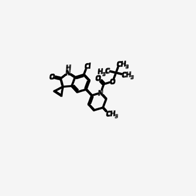 CC1CC=C(c2cc(Cl)c3c(c2)C2(CC2)C(=O)N3)N(C(=O)OC(C)(C)C)C1